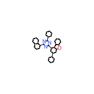 c1ccc(-c2cc(-c3nc(-c4ccccc4)nc(-c4cccc5ccccc45)n3)c3c(c2)oc2ccccc23)cc1